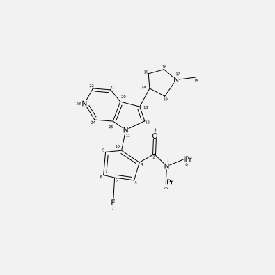 CC(C)N(C(=O)c1cc(F)ccc1-n1cc(C2CCN(C)C2)c2ccncc21)C(C)C